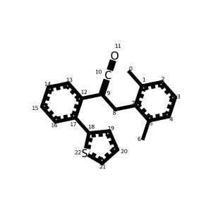 Cc1cccc(C)c1CC(=C=O)c1ccccc1-c1cccs1